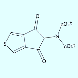 CCCCCCCCN(CCCCCCCC)C1C(=O)c2cscc2C1=O